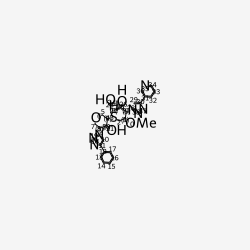 CO[C@H]1C[SH]([C@@H]2COC[C@H](n3cc(-c4ccccc4)nn3)[C@H]2O)[C@H](CO)[C@H](O)[C@@H]1n1cc(-c2cccnc2)nn1